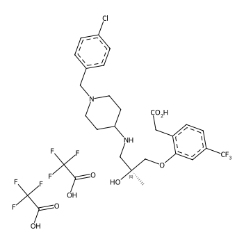 C[C@](O)(CNC1CCN(Cc2ccc(Cl)cc2)CC1)COc1cc(C(F)(F)F)ccc1CC(=O)O.O=C(O)C(F)(F)F.O=C(O)C(F)(F)F